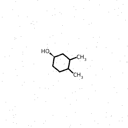 CC1CC[C@@H](O)CC1C